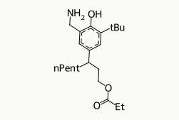 CCCCCC(CCOC(=O)CC)c1cc(CN)c(O)c(C(C)(C)C)c1